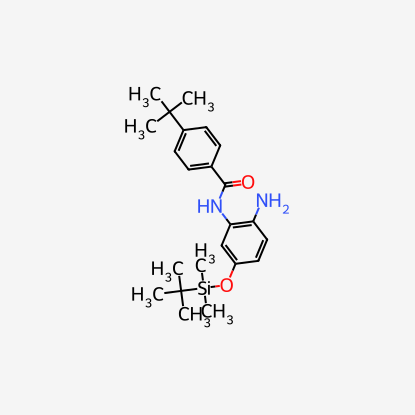 CC(C)(C)c1ccc(C(=O)Nc2cc(O[Si](C)(C)C(C)(C)C)ccc2N)cc1